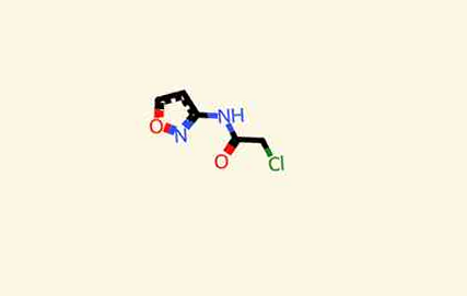 O=C(CCl)Nc1ccon1